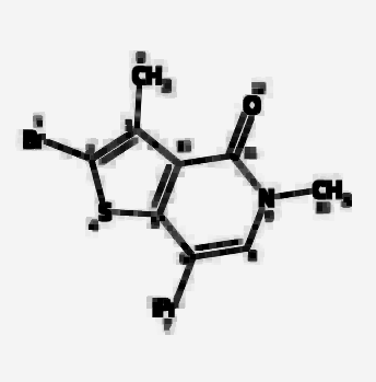 Cc1c(Br)sc2c(C(C)C)cn(C)c(=O)c12